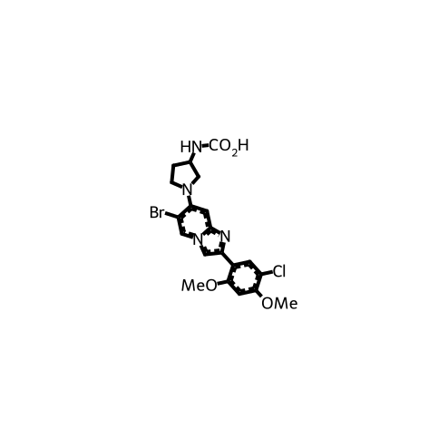 COc1cc(OC)c(-c2cn3cc(Br)c(N4CCC(NC(=O)O)C4)cc3n2)cc1Cl